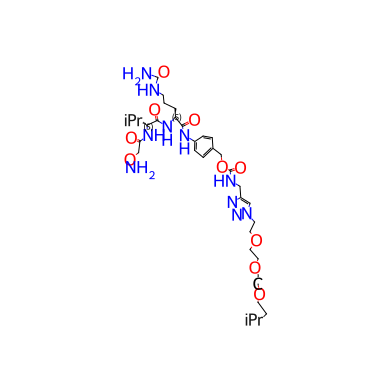 CC(C)CCOCCOCCOCCn1cc(CNC(=O)OCc2ccc(NC(=O)[C@H](CCCNC(N)=O)NC(=O)[C@@H](NC(=O)CON)C(C)C)cc2)nn1